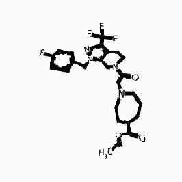 CCOC(=O)C1CCCN(CC(=O)N2CCc3c(C(F)(F)F)nn(Cc4ccc(F)cc4)c3C2)CC1